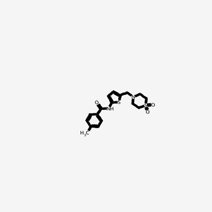 Cc1ccc(C(=O)Nc2ccc(CN3CCS(=O)(=O)CC3)s2)cc1